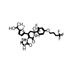 CC(O)c1ccc(C2=C(n3nn[nH]c3=O)C(=O)N[C@](C)(c3ccc(OCCCC(F)(F)F)cc3F)C2)s1